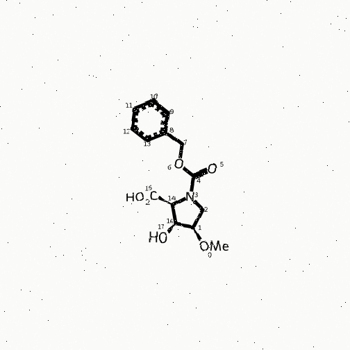 CO[C@@H]1CN(C(=O)OCc2ccccc2)[C@H](C(=O)O)[C@@H]1O